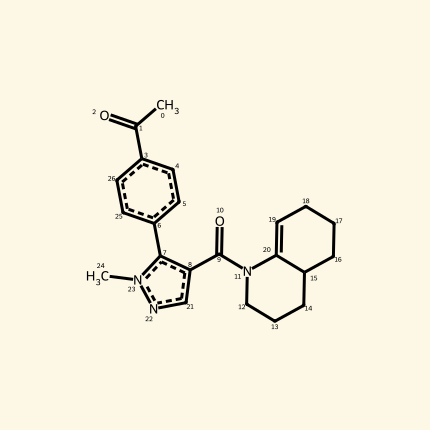 CC(=O)c1ccc(-c2c(C(=O)N3CCCC4CCCC=C43)cnn2C)cc1